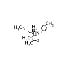 C=C(C1CC1)C(C)/C(=C/NCc1ccc(C)cc1)C(N)CCCCC